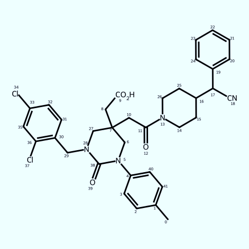 Cc1ccc(N2CC(CC(=O)O)(CC(=O)N3CCC(C(C#N)c4ccccc4)CC3)CN(Cc3ccc(Cl)cc3Cl)C2=O)cc1